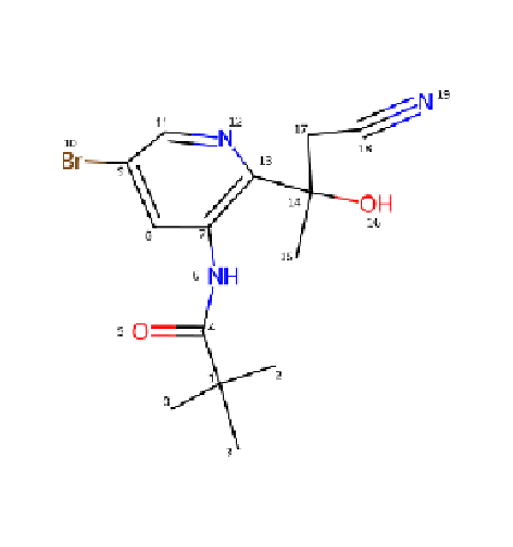 CC(C)(C)C(=O)Nc1cc(Br)cnc1C(C)(O)CC#N